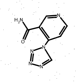 NC(=O)c1cnccc1-n1cnnn1